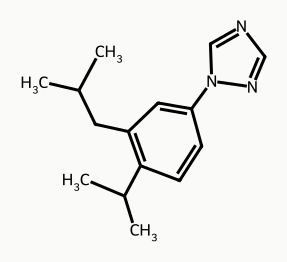 CC(C)Cc1cc(-n2cncn2)ccc1C(C)C